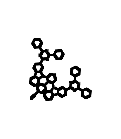 N#Cc1ccc(-c2c(-n3c4ccccc4c4ccc(-c5nc(-c6ccccc6)nc(-c6ccccc6)n5)cc43)cncc2-n2c3ccccc3c3ccc(-c4nc(-c5ccccc5)nc(-c5ccccc5)n4)cc32)cc1